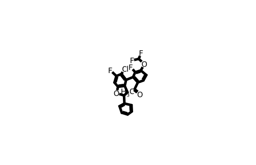 CC(=O)c1ccc(OC(F)F)c(F)c1-c1c(Cl)c(F)cc2c1CC(c1ccccc1)O2